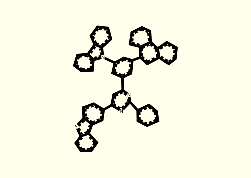 c1ccc(-c2nc(-c3cc(-c4cc5ccccc5c5ccccc45)cc(-n4c5ccccc5c5ccccc54)c3)cc(-c3ccc4sc5ccccc5c4c3)n2)cc1